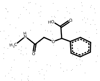 CNC(=O)COC(C(=O)O)c1ccccc1